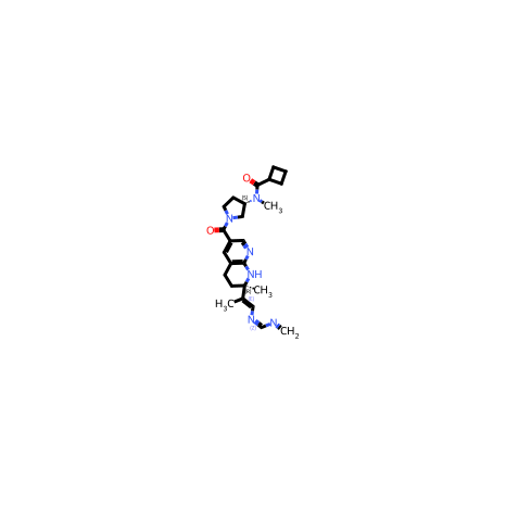 C=N/C=N\C=C(/C)[C@@]1(C)CCc2cc(C(=O)N3CC[C@H](N(C)C(=O)C4CCC4)C3)cnc2N1